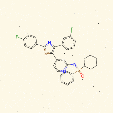 O=S(=Nc1cc(-c2sc(-c3ccc(F)cc3)nc2-c2cccc(F)c2)ccn1)(c1ccccc1)C1CCCCC1